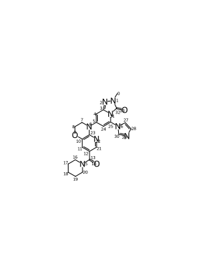 Cn1nc2cc(N3CCOc4cc(C(=O)N5CCCCC5)cnc43)cc(-n3ccnc3)n2c1=O